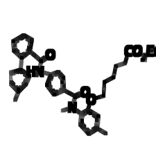 CCOC(=O)CCCCCOc1cc(C)ccc1N(C)C(=O)c1ccc(NC(=O)c2ccccc2-c2ccc(C)cc2)cc1